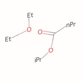 CCCC(=O)OC(C)C.CCOCC